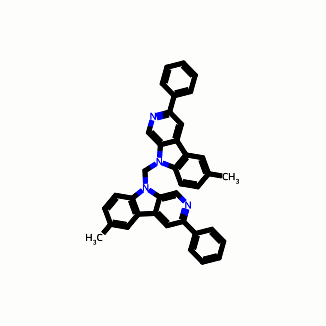 Cc1ccc2c(c1)c1cc(-c3ccccc3)ncc1n2Cn1c2ccc(C)cc2c2cc(-c3ccccc3)ncc21